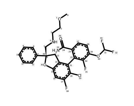 COCCNC[C@@]1(c2ccccc2)Cc2c(cc(F)c(Cl)c2-c2c(C(N)=O)ccc(OC(F)F)c2F)O1